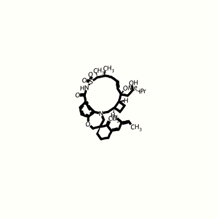 C=C1/C(=C\C(Cl)=C/C)CCC[C@]12COc1ccc3cc1N(C[C@@H]1CC[C@H]1[C@](C[C@H](O)C(C)C)(OC)/C=C/C[C@H](C)[C@@H](C)S(=O)(=O)NC3=O)C2